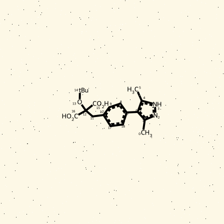 Cc1n[nH]c(C)c1-c1ccc(CC(OC(C)(C)C)(C(=O)O)C(=O)O)cc1